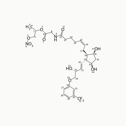 CC(CO[N+](=O)[O-])OC(=O)CNC(=O)CCC/C=C\C[C@@H]1[C@@H](/C=C/[C@@H](O)COc2cccc(C(F)(F)F)c2)[C@H](O)C[C@@H]1O